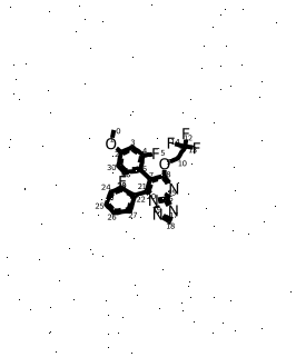 COc1cc(F)c(-c2c(OCC(F)(F)F)nc3ncnn3c2-c2ccccc2)c(F)c1